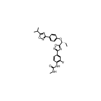 CC[C@@H](Oc1ccc(-c2noc(C(C)C)n2)cc1)c1nc(-c2ccc(NC(=O)NC)c(F)c2)no1